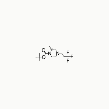 C[C@H]1CN(CCC(F)(F)F)CCN1C(=O)OC(C)(C)C